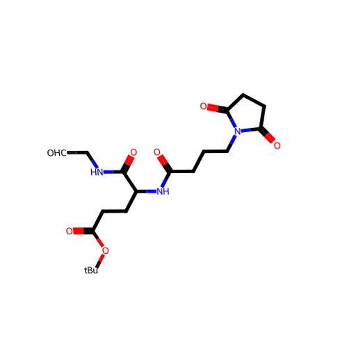 CC(C)(C)OC(=O)CCC(NC(=O)CCCN1C(=O)CCC1=O)C(=O)NCC=O